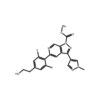 Cn1cc(-c2nn(C(=O)OC(C)(C)C)c3cnc(-c4c(F)cc(CCO)cc4F)cc23)cn1